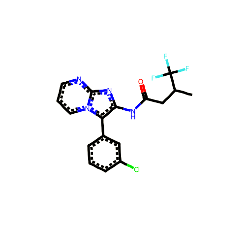 CC(CC(=O)Nc1nc2ncccn2c1-c1cccc(Cl)c1)C(F)(F)F